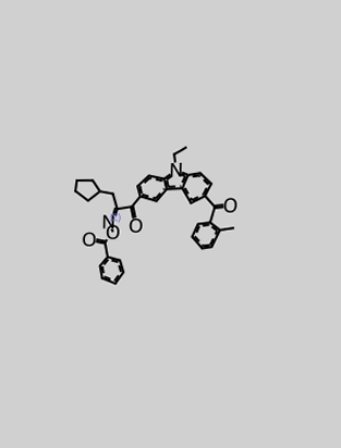 CCn1c2ccc(C(=O)/C(CC3CCCC3)=N\OC(=O)c3ccccc3)cc2c2cc(C(=O)c3ccccc3C)ccc21